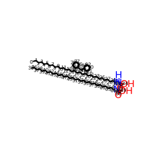 CCCCCCCCCCCCCCCCCCCCCCCCCCCCCCCNC(=O)O.CCCCCCCCCCCCCCCCCCCCCCCCCCCCCCCNC(=O)O.c1ccc(Cc2ccccc2)cc1